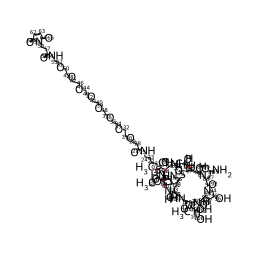 CC[C@H](C)[C@@H]1NC(=O)CNC(=O)[C@@H]2Cc3c([nH]c4c(CSCCCCNC(=O)CCOCCOCCOCCOCCOCCOCCOCCOCCNC(=O)CCN5C(=O)C=CC5=O)c(OC)ccc34)[S+]([O-])C[C@@H](NC(=O)CNC1=O)C(=O)N[C@@H](CC(N)=O)C(=O)N1C[C@H](O)C[C@H]1C(=O)N[C@@H]([C@@H](C)[C@@H](O)CO)C(=O)N2